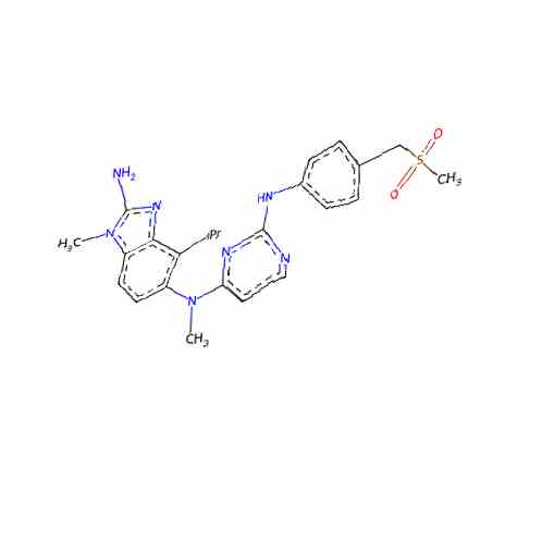 CC(C)c1c(N(C)c2ccnc(Nc3ccc(CS(C)(=O)=O)cc3)n2)ccc2c1nc(N)n2C